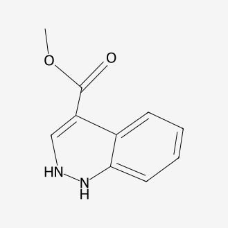 COC(=O)C1=CNNc2ccccc21